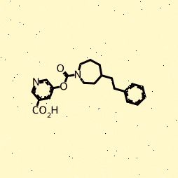 O=C(O)c1cncc(OC(=O)N2CCCC(CCc3ccccc3)CC2)c1